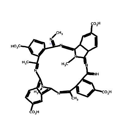 C/N=c1\nc2n(C)c(nc(=N)c3cc(C(=O)O)ccc3c(C)nc3c4cc(C(=O)O)ccc4c(nc(C)c4cc(C(=O)O)ccc14)n3C)C1C=CC(C(=O)O)=CC21